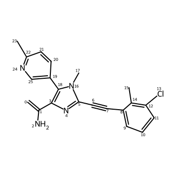 C=C(N)c1nc(C#Cc2cccc(Cl)c2C)n(C)c1-c1ccc(C)nc1